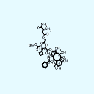 CC(=O)O[C@@]12CO[C@@H]1C[C@H](O)[C@@]1(C)C(=O)[C@H](O)C3=C(C)[C@@H](OC(=O)[C@H](OC(=O)COC(=O)C[C@H](N)C(N)=O)[C@@H](NC(=O)OC(C)(C)C)C4CCC4)C[C@@](O)([C@@H](OC(=O)c4ccccc4)[C@H]21)C3(C)C